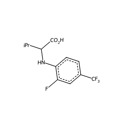 CC(C)C(Nc1ccc(C(F)(F)F)cc1F)C(=O)O